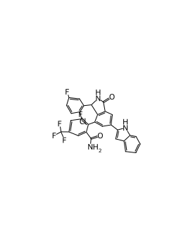 NC(=O)c1cc(C(F)(F)F)cc(F)c1-c1cc(-c2cc3ccccc3[nH]2)cc2c1C(c1cc(F)ccc1Cl)NC2=O